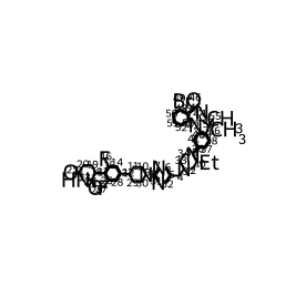 CC[C@@H]1CN(Cc2cnc(N3CCC(c4cc(F)c(C5CCC(=O)NC5=O)c(F)c4)CC3)nc2)CCN1c1ccc2c(c1)-n1c(nc(=O)c3c(Br)cccc31)C2(C)C